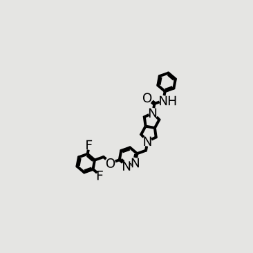 O=C(Nc1ccccc1)N1CC2CN(Cc3ccc(OCc4c(F)cccc4F)nn3)CC2C1